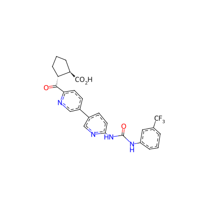 O=C(Nc1cccc(C(F)(F)F)c1)Nc1ccc(-c2ccc(C(=O)[C@@H]3CCC[C@H]3C(=O)O)nc2)cn1